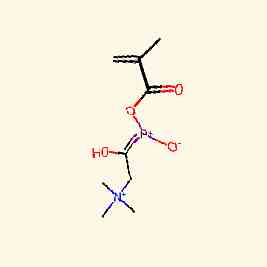 C=C(C)C(=O)O/[P+]([O-])=C(\O)C[N+](C)(C)C